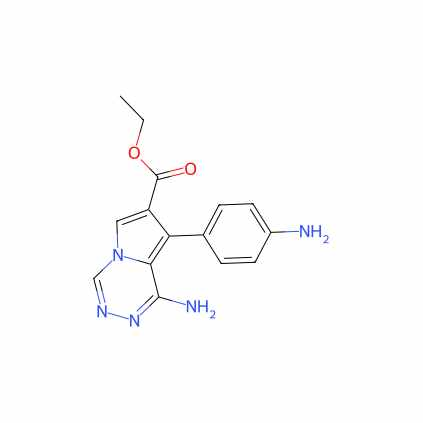 CCOC(=O)c1cn2cnnc(N)c2c1-c1ccc(N)cc1